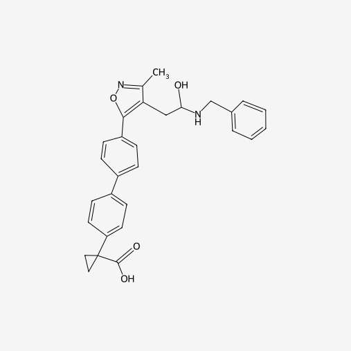 Cc1noc(-c2ccc(-c3ccc(C4(C(=O)O)CC4)cc3)cc2)c1CC(O)NCc1ccccc1